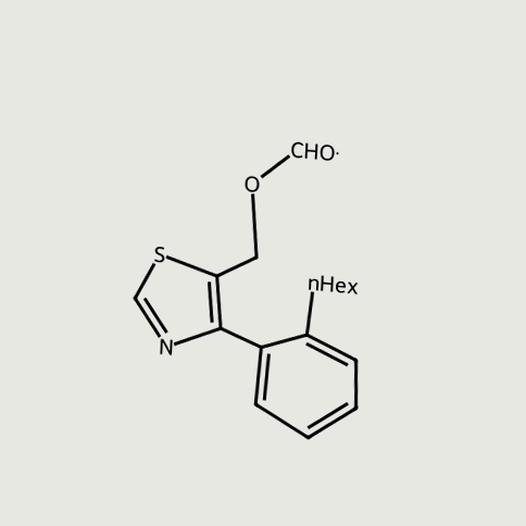 CCCCCCc1ccccc1-c1ncsc1CO[C]=O